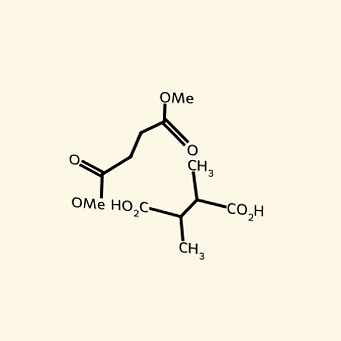 CC(C(=O)O)C(C)C(=O)O.COC(=O)CCC(=O)OC